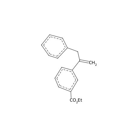 C=C(Cc1ccccc1)c1cccc(C(=O)OCC)c1